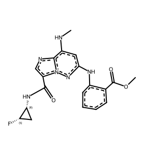 CNc1cc(Nc2ccccc2C(=O)OC)nn2c(C(=O)N[C@@H]3C[C@@H]3F)cnc12